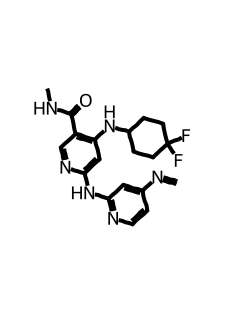 C=Nc1ccnc(Nc2cc(NC3CCC(F)(F)CC3)c(C(=O)NC)cn2)c1